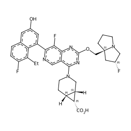 CCc1c(F)ccc2cc(O)cc(-c3ncc4c(N5CC[C@@H]6[C@H](C5)[C@@H]6C(=O)O)nc(OC[C@@]56CCCN5C[C@H](F)C6)nc4c3F)c12